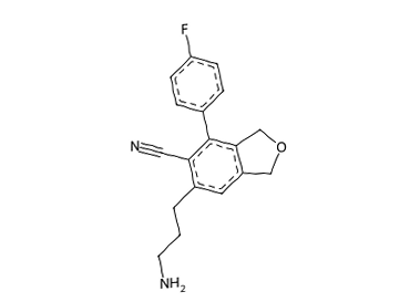 N#Cc1c(CCCN)cc2c(c1-c1ccc(F)cc1)COC2